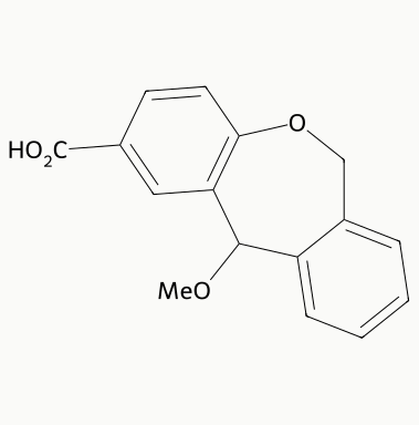 COC1c2ccccc2COc2ccc(C(=O)O)cc21